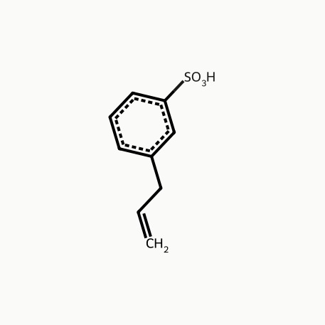 C=CCc1cccc(S(=O)(=O)O)c1